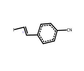 N#Cc1ccc(/C=C/I)cc1